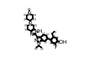 CCc1cc(O)c(F)cc1-c1ccc2c(-c3nc4c([nH]3)CN(C3CCN(C)CC3)CC4)nn(C(C)C)c2c1